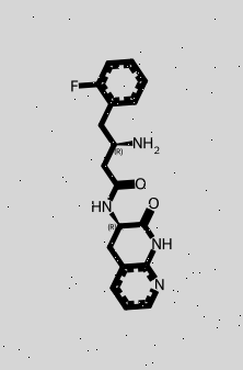 N[C@@H](CC(=O)N[C@@H]1Cc2cccnc2NC1=O)Cc1ccccc1F